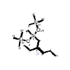 CC/C=C(/CC)C[Si](C)(O[Si](C)(C)C)O[Si](C)(C)C